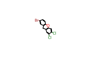 Clc1cc2c(cc1Cl)Oc1ccc(Br)cc1C2